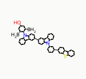 Bc1cc(O)cc(B)c1-n1c2ccccc2c2cc(-c3ccc4c(c3)c3ccccc3n4-c3cccc(-c4ccc5c(c4)sc4ccccc45)c3)ccc21